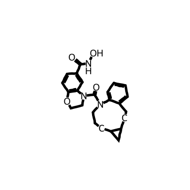 O=C(NO)c1ccc2c(c1)N(C(=O)N1CCCC3CC3CCc3ccccc31)CCO2